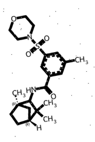 Cc1cc(C(=O)NC2C(C)(C)[C@@H]3CC[C@]2(C)C3)cc(S(=O)(=O)N2CCOCC2)c1